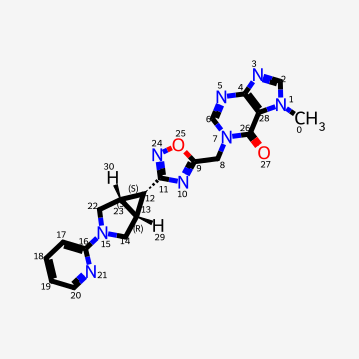 Cn1cnc2ncn(Cc3nc([C@@H]4[C@@H]5CN(c6ccccn6)C[C@@H]54)no3)c(=O)c21